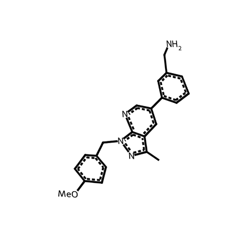 COc1ccc(Cn2nc(C)c3cc(-c4cccc(CN)c4)cnc32)cc1